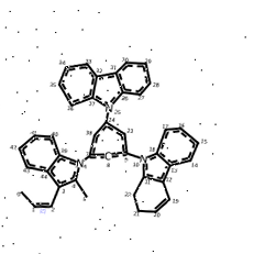 C/C=C\c1c(C)n(-c2cc(-n3c4c(c5ccccc53)C=CCC4)cc(-n3c4ccccc4c4ccccc43)c2)c2ccccc12